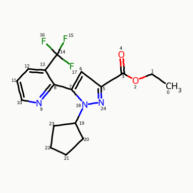 CCOC(=O)c1cc(-c2ncccc2C(F)(F)F)n(C2CCCC2)n1